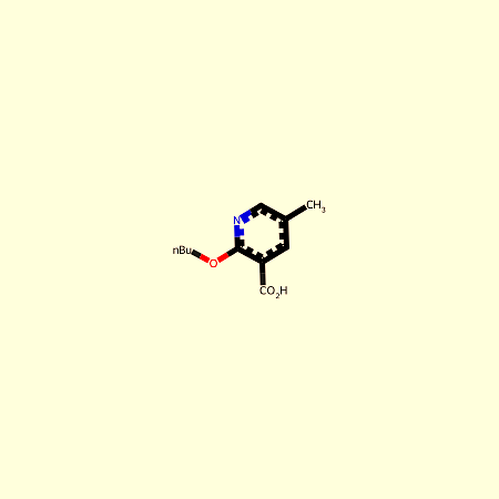 CCCCOc1ncc(C)cc1C(=O)O